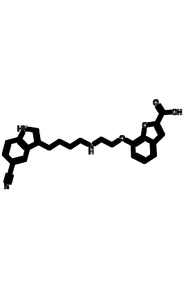 N#Cc1ccc2[nH]cc(CCCCNCCOc3cccc4cc(C(=O)O)oc34)c2c1